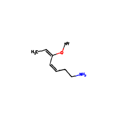 C/C=C(\C=C/CCN)OCCC